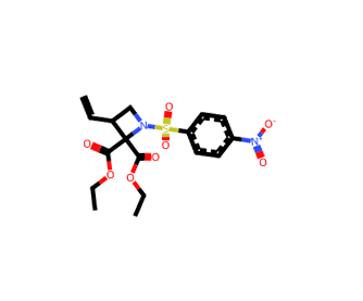 C=CC1CN(S(=O)(=O)c2ccc([N+](=O)[O-])cc2)C1(C(=O)OCC)C(=O)OCC